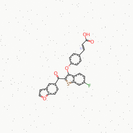 O=C(O)/C=C/c1ccc(Oc2c(C(=O)c3ccc4occc4c3)sc3cc(F)ccc23)cc1